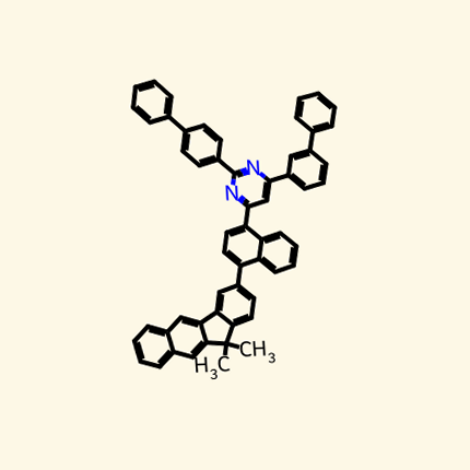 CC1(C)c2ccc(-c3ccc(-c4cc(-c5cccc(-c6ccccc6)c5)nc(-c5ccc(-c6ccccc6)cc5)n4)c4ccccc34)cc2-c2cc3ccccc3cc21